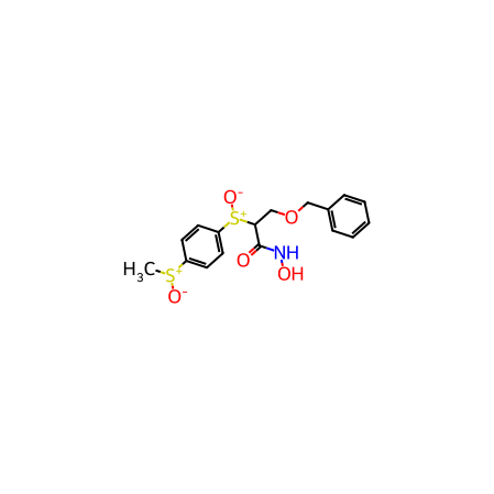 C[S+]([O-])c1ccc([S+]([O-])C(COCc2ccccc2)C(=O)NO)cc1